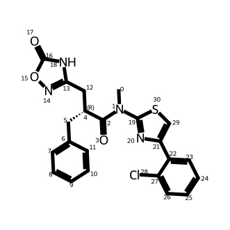 CN(C(=O)[C@H](Cc1ccccc1)Cc1noc(=O)[nH]1)c1nc(-c2ccccc2Cl)cs1